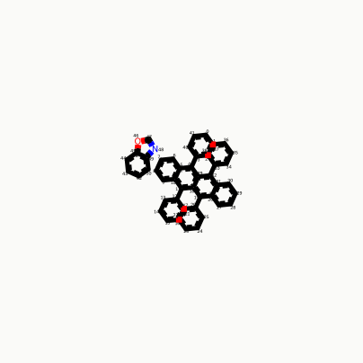 c1ccc(-c2c3ccccc3c(-c3ccccc3)c3c(-c4ccccc4)c4ccccc4c(-c4ccccc4)c23)cc1.c1ccc2ocnc2c1